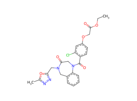 CCOC(=O)COc1ccc(C(=O)N2CC(=O)N(Cc3nnc(C)o3)Cc3ccccc32)c(Cl)c1